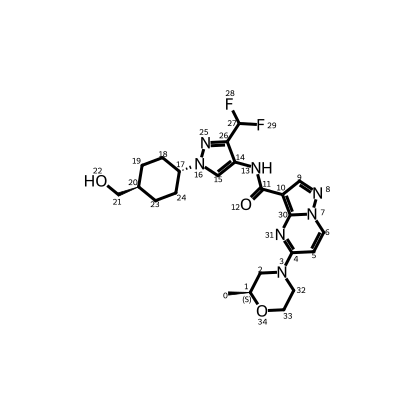 C[C@H]1CN(c2ccn3ncc(C(=O)Nc4cn([C@H]5CC[C@H](CO)CC5)nc4C(F)F)c3n2)CCO1